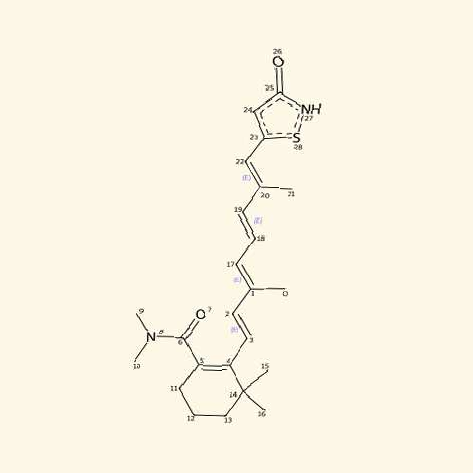 CC(/C=C/C1=C(C(=O)N(C)C)CCCC1(C)C)=C\C=C\C(C)=C\c1cc(=O)[nH]s1